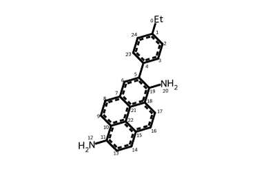 CCc1ccc(-c2cc3ccc4c(N)ccc5ccc(c2N)c3c54)cc1